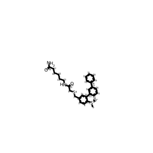 C[S+]([O-])c1ccc(CSCC(=O)NCCCCCC(N)=O)cc1-c1cccc(-c2ccccc2)c1